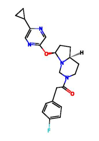 O=C(Cc1ccc(F)cc1)N1CC[C@@H]2CC[C@H](Oc3cnc(C4CC4)cn3)N2C1